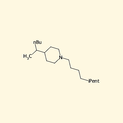 CCCCC(C)C1CCN(CCCCC(C)CCC)CC1